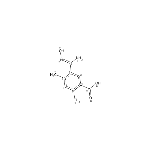 Cc1cc(C)c(C(N)=NO)cc1C(=O)O